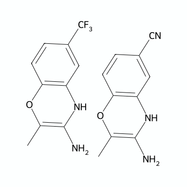 CC1=C(N)Nc2cc(C#N)ccc2O1.CC1=C(N)Nc2cc(C(F)(F)F)ccc2O1